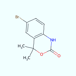 CC1(C)OC(=O)Nc2ccc(Br)cc21